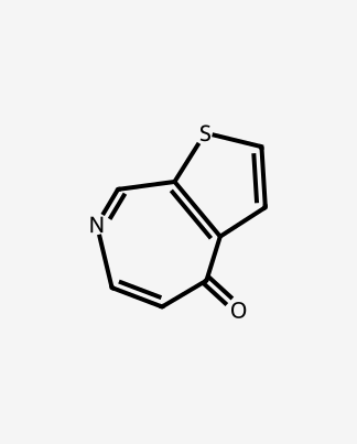 O=c1ccncc2sccc12